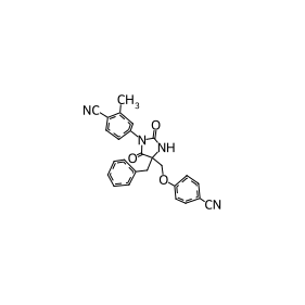 Cc1cc(N2C(=O)NC(COc3ccc(C#N)cc3)(Cc3ccccc3)C2=O)ccc1C#N